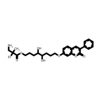 CCC(C)(CP)C(=O)OCCCC(O)C(O)CCCOc1ccc2cc(-c3ccccc3)c(=O)oc2c1